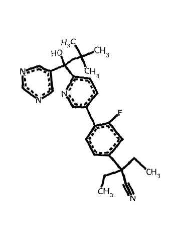 CCC(C#N)(CC)c1ccc(-c2ccc(C(O)(c3cncnc3)C(C)(C)C)nc2)c(F)c1